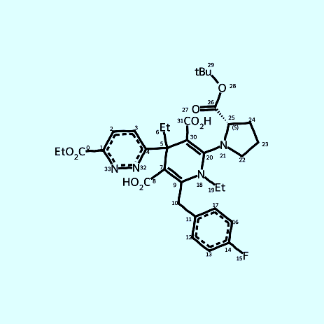 CCOC(=O)c1ccc(C2(CC)C(C(=O)O)=C(Cc3ccc(F)cc3)N(CC)C(N3CCC[C@H]3C(=O)OC(C)(C)C)=C2C(=O)O)nn1